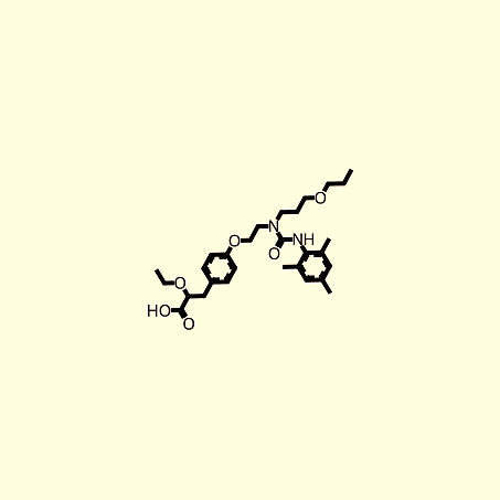 CCCOCCCN(CCOc1ccc(CC(OCC)C(=O)O)cc1)C(=O)Nc1c(C)cc(C)cc1C